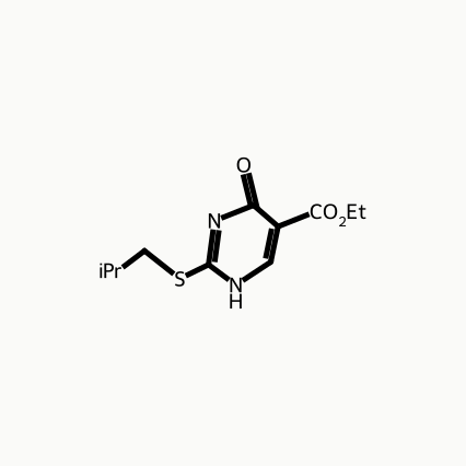 CCOC(=O)c1c[nH]c(SCC(C)C)nc1=O